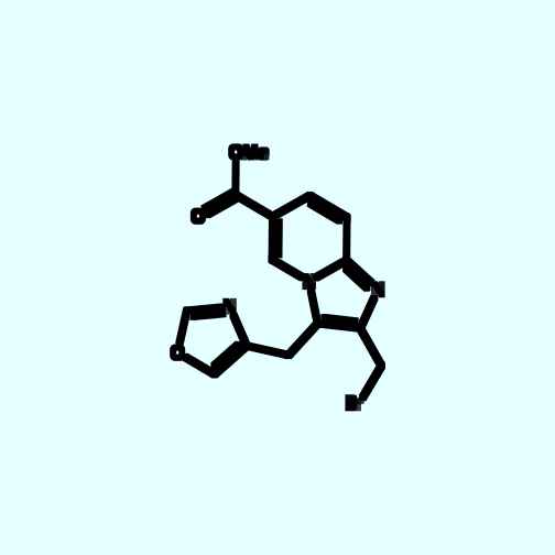 COC(=O)c1ccc2nc(CBr)c(Cc3cocn3)n2c1